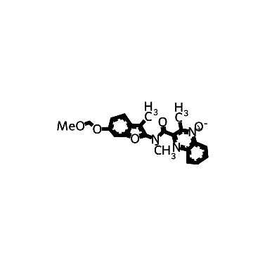 COCOc1ccc2c(C)c(N(C)C(=O)c3nc4ccccc4[n+]([O-])c3C)oc2c1